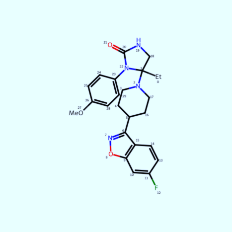 CCC1(N2CCC(c3noc4cc(F)ccc34)CC2)CNC(=O)N1c1ccc(OC)cc1